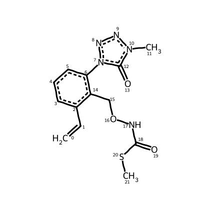 C=Cc1cccc(-n2nnn(C)c2=O)c1CONC(=O)SC